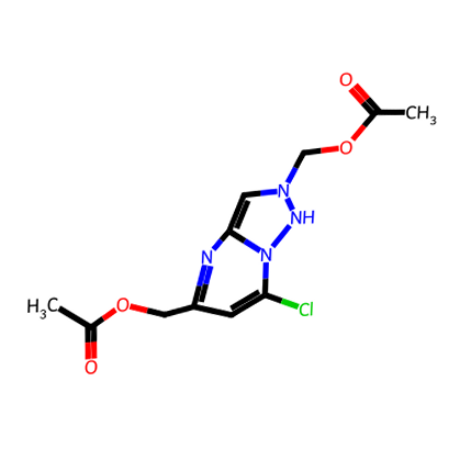 CC(=O)OCC1=NC2=CN(COC(C)=O)NN2C(Cl)=C1